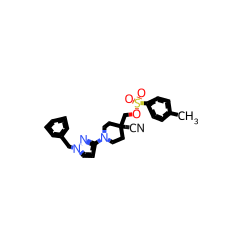 Cc1ccc(S(=O)(=O)OCC2(C#N)CCN(c3ccn(Cc4ccccc4)n3)CC2)cc1